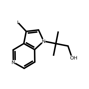 CC(C)(CO)n1cc(I)c2cnccc21